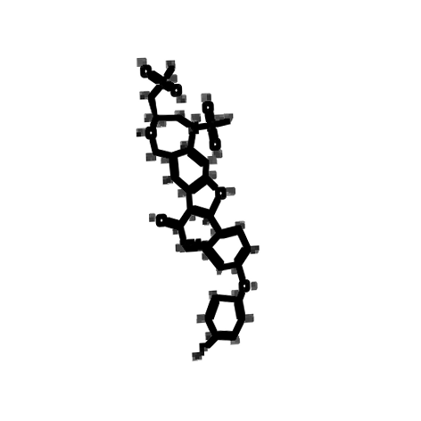 CNC(=O)c1c(-c2ccc(Oc3ccc(F)cc3)cc2)oc2cc3c(cc12)CO[C@@H](CS(C)(=O)=O)CN3S(C)(=O)=O